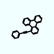 C(#Cc1cccc2c3ccccc3c3ccccc3c12)c1[c]cccc1